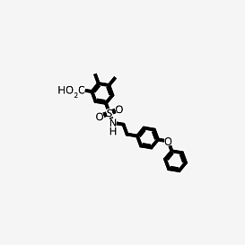 Cc1cc(S(=O)(=O)NCCc2ccc(Oc3ccccc3)cc2)cc(C(=O)O)c1C